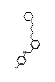 Clc1ccc(NCc2cccc(OCCCN3CCCCC3)c2)cc1